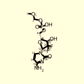 COCOP(=O)(O)OC[C@H]1O[C@@H](n2ccc(N)nc2=O)C(F)(F)[C@@H]1O